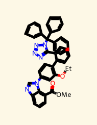 CCOc1cc(-n2cnc3cccc(C(=O)OC)c32)ccc1-c1ccccc1-c1nnnn1C(c1ccccc1)(c1ccccc1)c1ccccc1